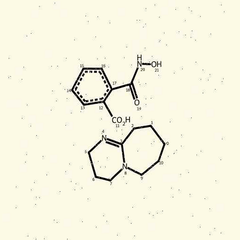 C1CCC2=NCCCN2CC1.O=C(O)c1ccccc1C(=O)NO